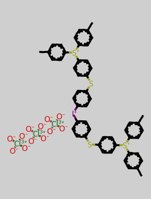 Cc1ccc([S+](c2ccc(C)cc2)c2ccc(Sc3ccc([I+]c4ccc(Sc5ccc([S+](c6ccc(C)cc6)c6ccc(C)cc6)cc5)cc4)cc3)cc2)cc1.[O-][Cl+3]([O-])([O-])[O-].[O-][Cl+3]([O-])([O-])[O-].[O-][Cl+3]([O-])([O-])[O-]